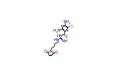 N=C(NCCCCN1C(=O)C=CC1=O)NC(=O)c1nc(Cl)c(N)nc1N